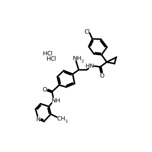 Cc1cnccc1NC(=O)c1ccc(C(N)CNC(=O)C2(c3ccc(Cl)cc3)CC2)cc1.Cl.Cl